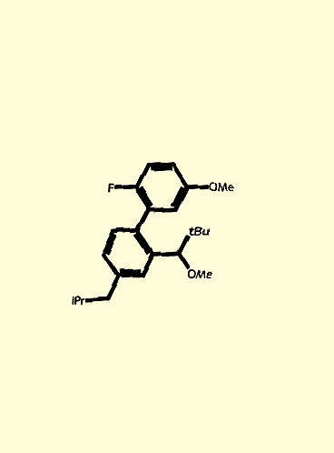 COc1ccc(F)c(-c2ccc(CC(C)C)cc2C(OC)C(C)(C)C)c1